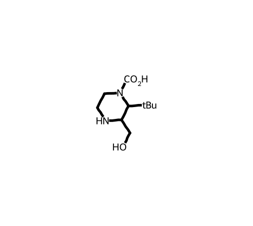 CC(C)(C)C1C(CO)NCCN1C(=O)O